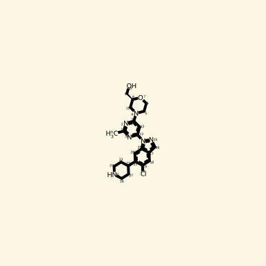 Cc1nc(N2CCO[C@H](CO)C2)cc(-n2ncc3cc(Cl)c(C4CCNCC4)cc32)n1